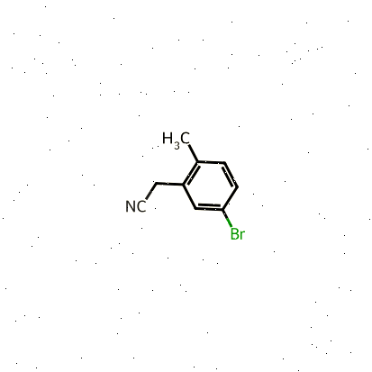 Cc1ccc(Br)cc1CC#N